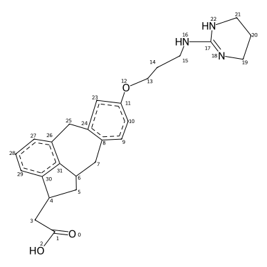 O=C(O)CC1CC2Cc3ccc(OCCCNC4=NCCCN4)cc3Cc3cccc1c32